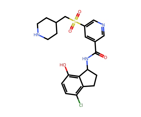 O=C(NC1CCc2c(Cl)ccc(O)c21)c1cncc(S(=O)(=O)CC2CCNCC2)c1